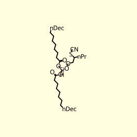 CCCCCCCCCCCCCCCCCC(=O)O[SiH](OOCC(CCC)SC#N)OC(=O)CCCCCCCCCCCCCCCCC